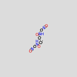 Cc1ccc(C(=O)Nc2ccc(N3CCOCC3)cc2)cc1-c1ccc(C(=O)NCc2ccc(N3CCOCC3)cc2)cc1